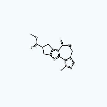 COC(=O)C1Cc2sc3c(c2C1)C(=S)NCc1nnc(C)n1-3